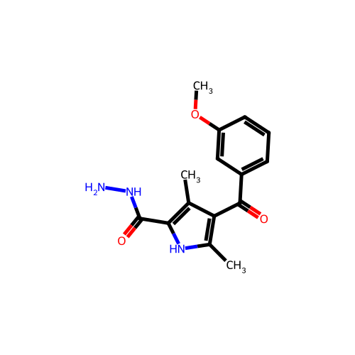 COc1cccc(C(=O)c2c(C)[nH]c(C(=O)NN)c2C)c1